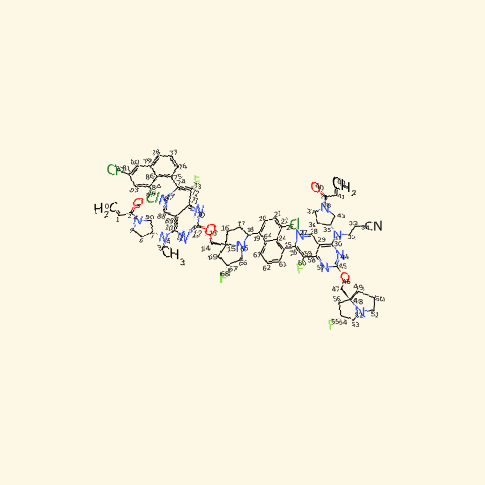 C=CC(=O)N1CC[C@@H](N(C)c2nc(OC[C@@]34CCC(c5ccc(Cl)c6c(-c7ncc8c(N(CCC#N)[C@@H]9CCN(C(=O)C=C)C9)nc(OC[C@@]9%10CCCN9C[C@H](F)C%10)nc8c7F)cccc56)N3C[C@H](F)C4)nc3c(F)c(-c4cccc5cc(Cl)cc(Cl)c45)ncc23)C1